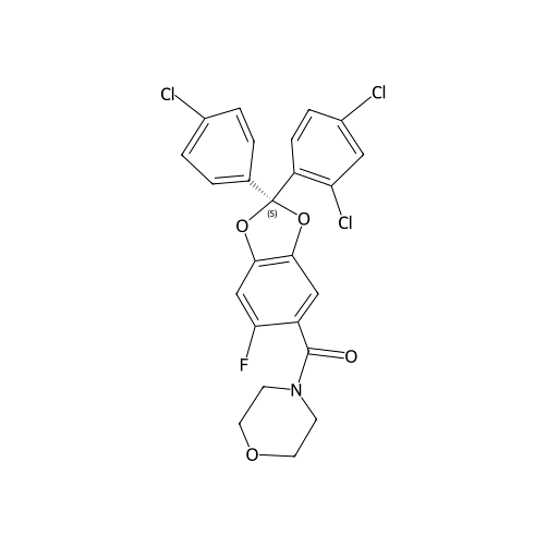 O=C(c1cc2c(cc1F)O[C@@](c1ccc(Cl)cc1)(c1ccc(Cl)cc1Cl)O2)N1CCOCC1